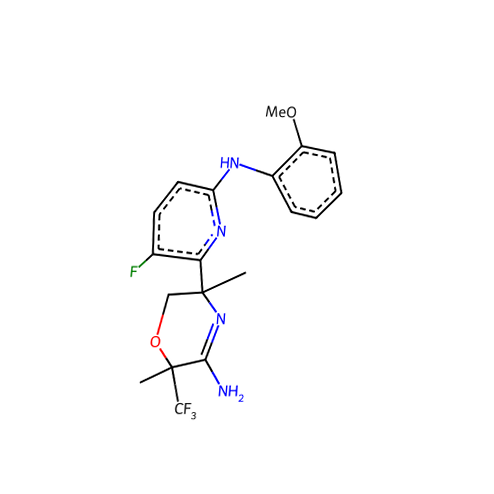 COc1ccccc1Nc1ccc(F)c(C2(C)COC(C)(C(F)(F)F)C(N)=N2)n1